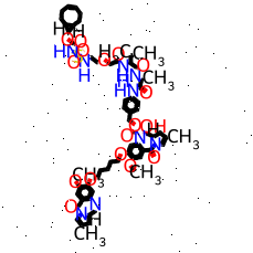 COc1cc2c(cc1OCCCCCOc1cc3c(cc1OC)C(=O)N1C=C(C)C[C@H]1[C@H](O)N3C(=O)OCc1ccc(NC(=O)[C@H](C)NC(=O)[C@@H](NC(=O)COCCNS(=O)(=O)NC(=O)O[C@@H]3[C@@H]4CC/C=C\CC[C@@H]43)C(C)C)cc1)N=C[C@@H]1CC(C)=CN1C2=O